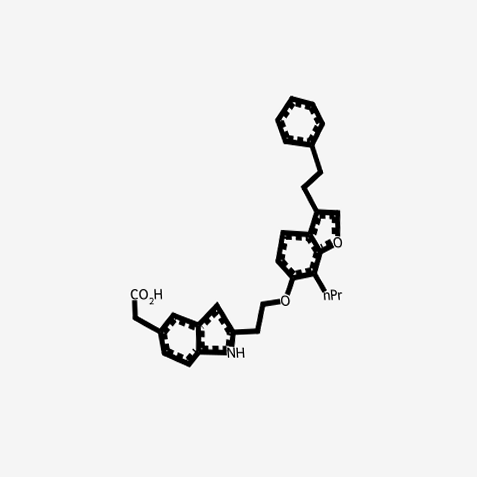 CCCc1c(OCCc2cc3cc(CC(=O)O)ccc3[nH]2)ccc2c(CCc3ccccc3)coc12